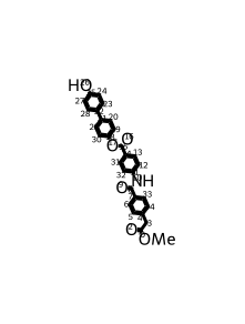 COC(=O)Cc1ccc(C(=O)Nc2ccc(C(=O)Oc3ccc(-c4ccc(O)cc4)cc3)cc2)cc1